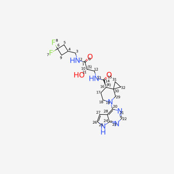 O=C(NCC1CC(F)(F)C1)[C@@H](O)CNC(=O)[C@@H]1CCN(c2ncnc3[nH]ccc23)CC12CC2